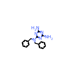 Nc1nc(N)nc(N(Cc2ccccc2)Cc2ccccc2)n1